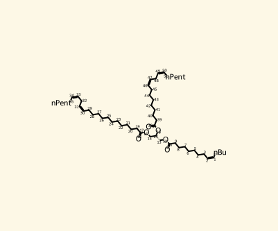 CCCC/C=C\CCCCCCCC(=O)OC[C@H](COC(=O)CCCCCCCCCCC/C=C\C/C=C\CCCCC)OC(=O)CCCCCCC/C=C\C/C=C\CCCCC